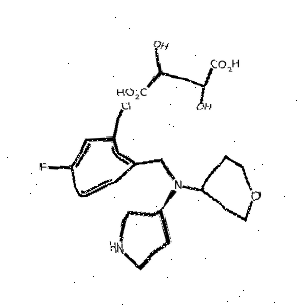 Fc1ccc(CN(C2CCOCC2)[C@H]2CCNC2)c(Cl)c1.O=C(O)C(O)C(O)C(=O)O